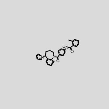 Cc1ccccc1C(=O)Nc1ccc(C(=O)N2CCCC(n3cccc3)c3ccccc32)cc1